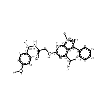 COc1ccc([C@H](C)NC(=O)COc2cc(C(F)F)c3c(-c4ccccc4)nn(C)c3n2)cc1